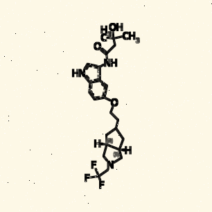 CC(C)(O)CC(=O)Nc1c[nH]c2ccc(OCCC3C[C@@H]4CN(CC(F)(F)F)C[C@@H]4C3)cc12